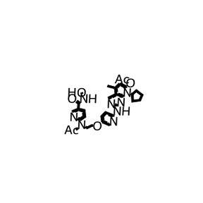 CC(=O)c1c(C)c2cnc(Nc3ccc(OCCN(C(C)=O)c4ccc(C(=O)NO)cn4)cn3)nc2n(C2CCCC2)c1=O